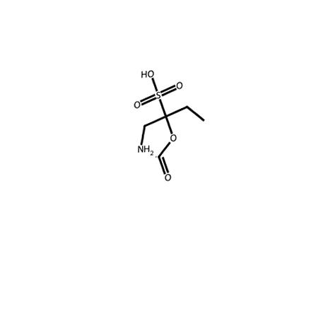 CCC(CN)(O[C]=O)S(=O)(=O)O